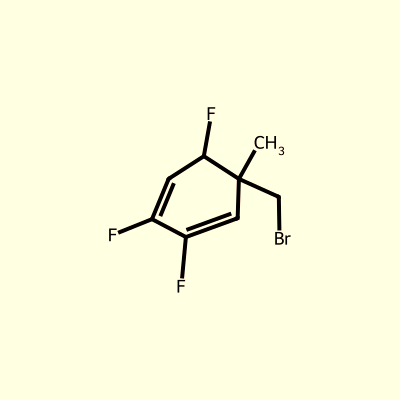 CC1(CBr)C=C(F)C(F)=CC1F